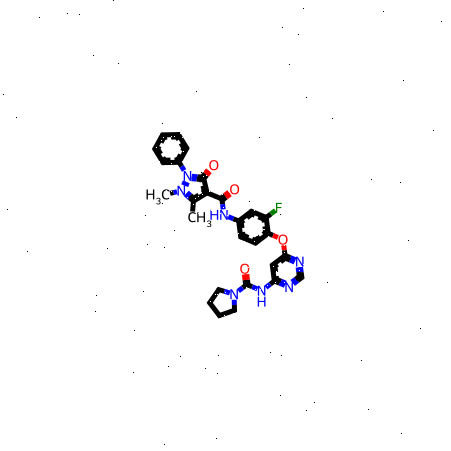 Cc1c(C(=O)Nc2ccc(Oc3cc(NC(=O)N4CCCC4)ncn3)c(F)c2)c(=O)n(-c2ccccc2)n1C